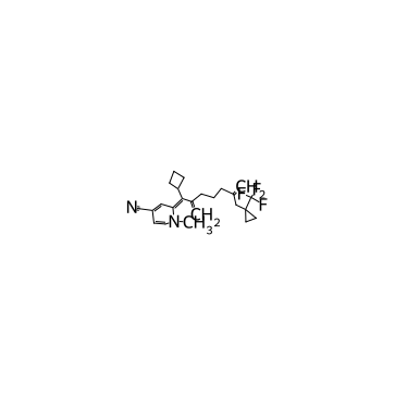 C=C(CCCC(=C)/C(=C1/C=C(C#N)C=CN1C)C1CCC1)CC1(C(F)(F)F)CC1